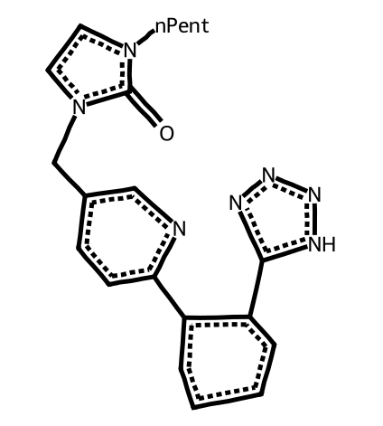 CCCCCn1ccn(Cc2ccc(-c3ccccc3-c3nnn[nH]3)nc2)c1=O